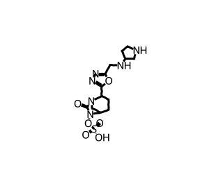 O=C1N2CC(CCC2c2nnc(CNC3CCNC3)o2)N1OS(=O)(=O)O